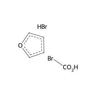 Br.O=C(O)Br.c1ccoc1